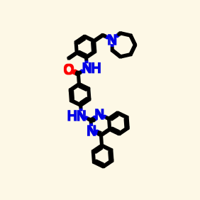 Cc1ccc(CN2CCCCCC2)cc1NC(=O)c1ccc(Nc2nc(-c3ccccc3)c3ccccc3n2)cc1